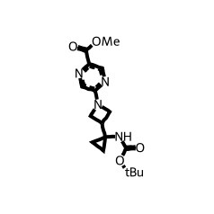 COC(=O)c1cnc(N2CC(C3(NC(=O)OC(C)(C)C)CC3)C2)cn1